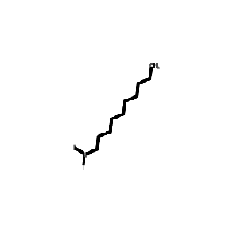 CCCCCCCCCCN(I)I